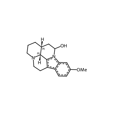 COc1ccc2c3c4n(c2c1)C(O)C[C@H]1CCCN(CC3)[C@@H]41